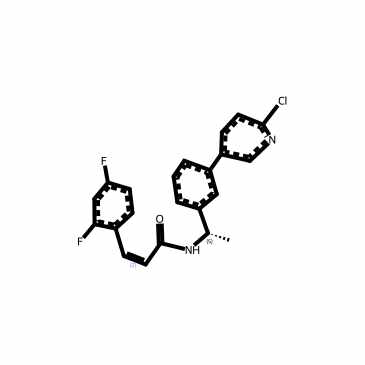 C[C@H](NC(=O)/C=C\c1ccc(F)cc1F)c1cccc(-c2ccc(Cl)nc2)c1